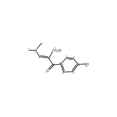 CCOC(=O)/C(=C\N(C)C)C(=O)c1ccc(N=O)cc1